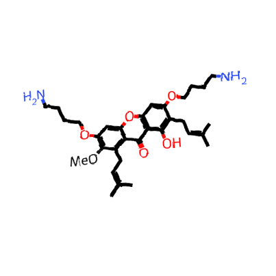 COc1c(OCCCCN)cc2oc3cc(OCCCCN)c(CC=C(C)C)c(O)c3c(=O)c2c1CC=C(C)C